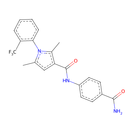 Cc1cc(C(=O)Nc2ccc(C(N)=O)cc2)c(C)n1-c1ccccc1C(F)(F)F